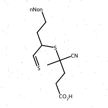 CCCCCCCCCCCC(C=S)SC(C)(C#N)CCC(=O)O